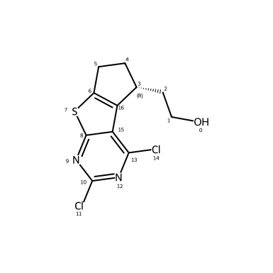 OCC[C@H]1CCc2sc3nc(Cl)nc(Cl)c3c21